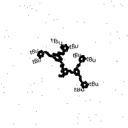 C=Cc1cc(C=Cc2cc(C=Cc3cc(C(C)(C)C)cc(C(C)(C)C)c3)cc(C=Cc3cc(C(C)(C)C)cc(C(C)(C)C)c3)c2)cc(C=Cc2cc(C=Cc3cc(C(C)(C)C)cc(C(C)(C)C)c3)cc(C=Cc3cc(C(C)(C)C)cc(C(C)(C)C)c3)c2)c1